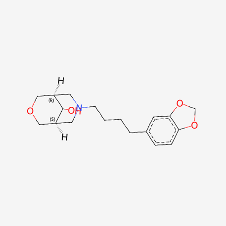 OC1[C@@H]2COC[C@H]1CN(CCCCc1ccc3c(c1)OCO3)C2